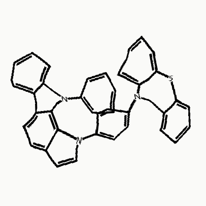 c1ccc(-n2c3ccccc3c3ccc4ccn(-c5ccc(N6c7ccccc7Sc7ccccc76)cc5)c4c32)cc1